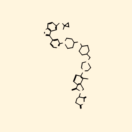 CC1(Oc2ccc3[nH]nc(-c4ccnc(N5CCC(OC6CCC(CN7CCN(c8ccc9c(c8F)CN(C8CCC(=O)NC8=O)C9=O)CC7)CC6)CC5)c4)c3c2)CC1